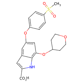 CS(=O)(=O)c1ccc(Oc2cc(OC3CCOCC3)c3[nH]c(C(=O)O)cc3c2)cc1